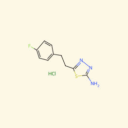 Cl.Nc1nnc(CCc2ccc(F)cc2)s1